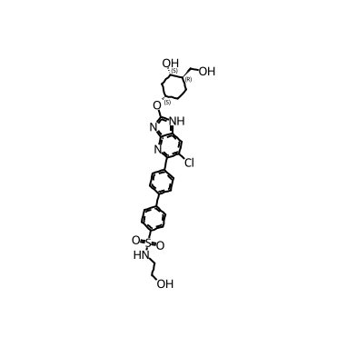 O=S(=O)(NCCO)c1ccc(-c2ccc(-c3nc4nc(O[C@H]5CC[C@H](CO)[C@@H](O)C5)[nH]c4cc3Cl)cc2)cc1